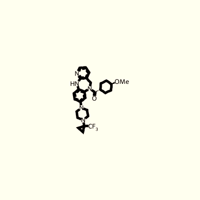 CO[C@H]1CC[C@H](C(=O)N2Cc3cccnc3Nc3ccc(N4CCN(C5(C(F)(F)F)CC5)CC4)cc32)CC1